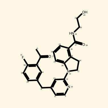 CC(=O)c1cc(Cc2ccnc(N3CCc4c(C(=O)NCCO)cccc43)c2)ccc1F